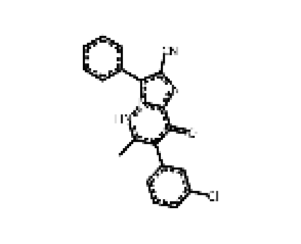 Cc1[nH]n2c(-c3ccccc3)c(C#N)nc2c(=O)c1-c1cccc(Cl)c1